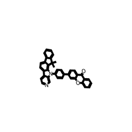 CC1(C)c2ccccc2-c2ccc3c4ccncc4n(-c4ccc(-c5ccc6c(=O)c7ccccc7oc6c5)cc4)c3c21